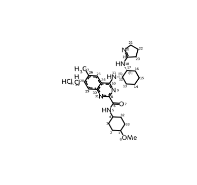 COC1CCC(NC(=O)c2nc(N[C@H]3CCCC[C@H]3NC3=NCCC3)c3cc(C)ccc3n2)CC1.Cl.Cl